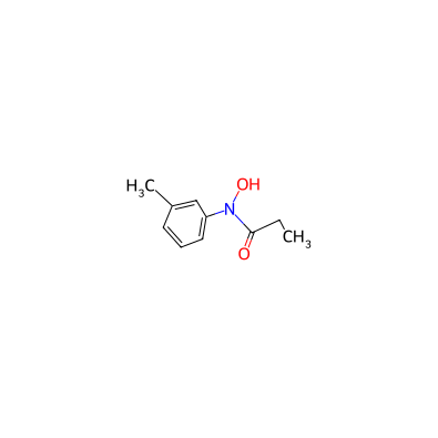 CCC(=O)N(O)c1cccc(C)c1